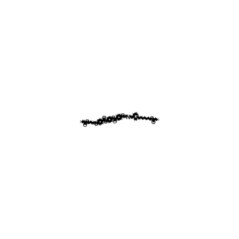 C=CC(=O)OCCCCCCCCN(C)C(/C=C\C)=C/C=N/CCOc1ccc(C(=O)Oc2ccc(OC(=O)c3ccc(OCCCCOC(=O)C=C)cc3)cc2)cc1